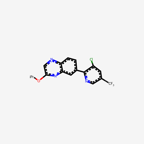 CC(C)Oc1cnc2ccc(-c3ncc(C(F)(F)F)cc3Cl)cc2n1